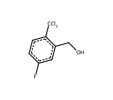 OCc1cc(F)ccc1C(Cl)(Cl)Cl